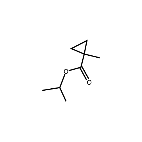 CC(C)OC(=O)C1(C)CC1